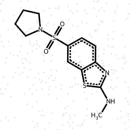 CNc1nc2ccc(S(=O)(=O)N3CCCC3)cc2s1